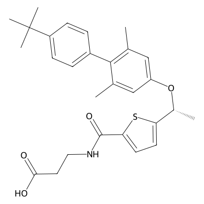 Cc1cc(O[C@H](C)c2ccc(C(=O)NCCC(=O)O)s2)cc(C)c1-c1ccc(C(C)(C)C)cc1